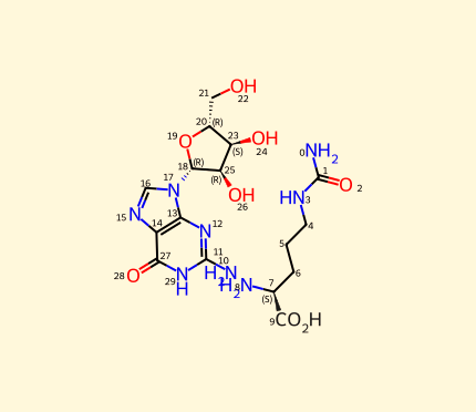 NC(=O)NCCC[C@H](N)C(=O)O.Nc1nc2c(ncn2[C@@H]2O[C@H](CO)[C@@H](O)[C@H]2O)c(=O)[nH]1